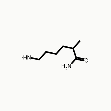 CC(CCCC[NH])C(N)=O